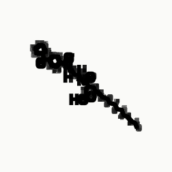 CCCCCCCCCCCCCCC(CC(=O)O)C(=O)NCCCNC(=O)c1ccc(C(=O)c2ccccc2)cc1